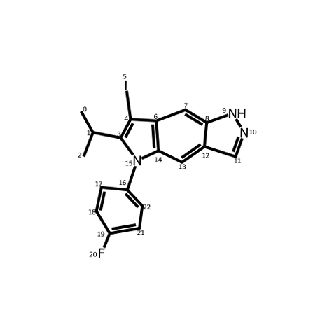 CC(C)c1c(I)c2cc3[nH]ncc3cc2n1-c1ccc(F)cc1